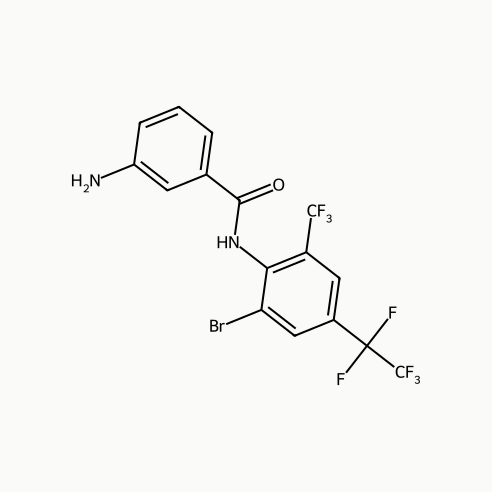 Nc1cccc(C(=O)Nc2c(Br)cc(C(F)(F)C(F)(F)F)cc2C(F)(F)F)c1